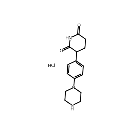 Cl.O=C1CCC(c2ccc(N3CCNCC3)cc2)C(=O)N1